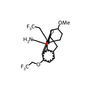 COC1CCC2(CC1)Cc1ccc(OCC(F)(F)F)cc1C21N=C(N)N(CC(F)(F)F)C1=O